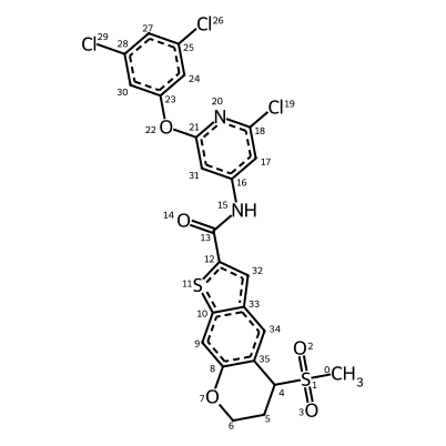 CS(=O)(=O)C1CCOc2cc3sc(C(=O)Nc4cc(Cl)nc(Oc5cc(Cl)cc(Cl)c5)c4)cc3cc21